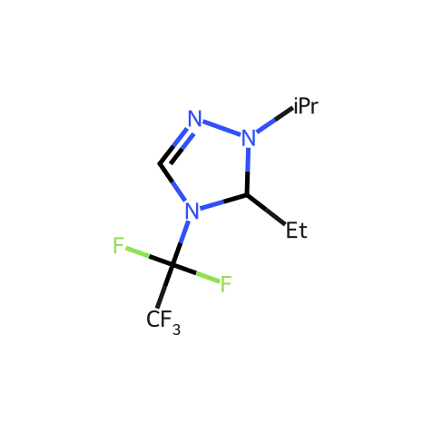 CCC1N(C(C)C)N=CN1C(F)(F)C(F)(F)F